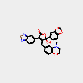 CN1CCOc2ccc(CC3=C(c4ccc5nsnc5c4)C(=O)OC3(O)c3ccc4c(c3)OCO4)cc21